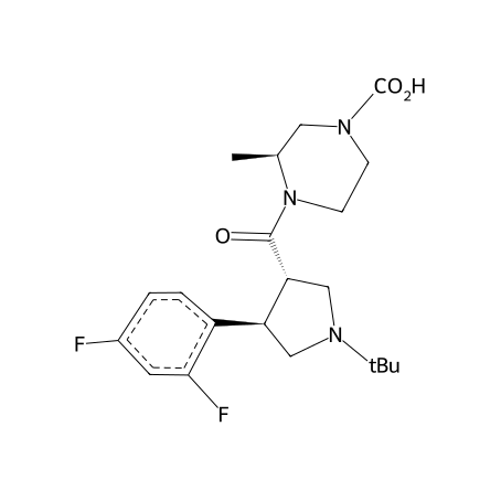 C[C@H]1CN(C(=O)O)CCN1C(=O)[C@@H]1CN(C(C)(C)C)C[C@H]1c1ccc(F)cc1F